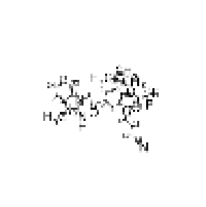 Cn1c(=N)n(CC(=O)c2cc(OCCCC#N)c(OC(=O)C(F)(F)F)c(C(C)(C)C)c2)c2ccccc21